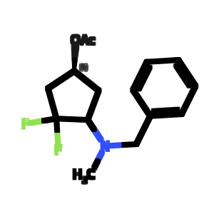 CC(=O)O[C@H]1CC(N(C)Cc2ccccc2)C(F)(F)C1